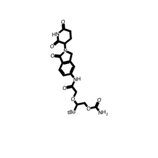 CC(C)(C)C(COC(N)=O)OCC(=O)Nc1ccc2c(c1)CN(C1CCC(=O)NC1=O)C2=O